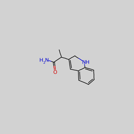 CC(C(N)=O)C1=Cc2ccccc2NC1